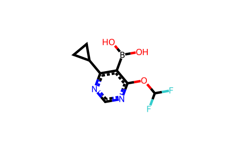 OB(O)c1c(OC(F)F)ncnc1C1CC1